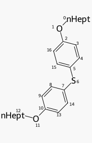 CCCCCCCOc1ccc(Sc2ccc(OCCCCCCC)cc2)cc1